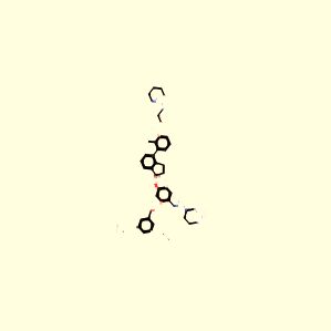 Cc1c(OCCCN2CCCCC2)cccc1-c1cccc2c1CC[C@@H]2Oc1cc(OCc2cc(C#N)cc(C#N)c2)c(CN[C@H]2CCC(=O)NC2)cc1Cl